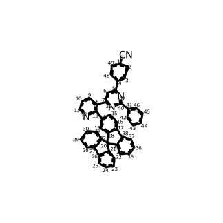 N#Cc1ccc(-c2cc(-c3cccnc3-c3ccc4c(c3)C3(c5ccccc5-c5ccccc53)c3ccccc3-4)nc(-c3ccccc3)n2)cc1